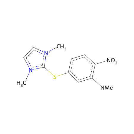 CNc1cc(Sc2n(C)cc[n+]2C)ccc1[N+](=O)[O-]